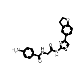 Nc1ccc(C(=O)NCC(=O)Nc2nc(-c3ccc4c(c3)CCO4)cs2)cc1